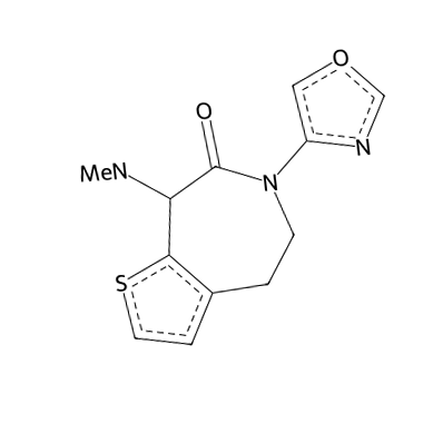 CNC1C(=O)N(c2cocn2)CCc2ccsc21